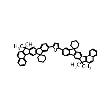 CC1(C)c2cc3c(cc2-c2c1ccc1ccccc21)C1(CCCCC1)c1cc(-c2ccc(-c4ccc5c(c4)C4(CCCCC4)c4cc6c(cc4-5)C(C)(C)c4ccc5ccccc5c4-6)o2)ccc1-3